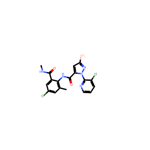 Bc1cc(C(=O)Nc2c(C)cc(Cl)cc2C(=O)NC)n(-c2ncccc2Cl)n1